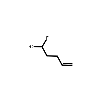 C=CCCC([O])F